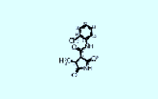 CC1C(=O)NC(=O)C1C(=O)Nc1ccccc1Cl